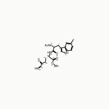 CC(=O)N[C@@H](Cc1c[nH]c2ccc(C)cc12)C(=O)N[C@@H](CCC(=O)C=N)C(=O)OC(C)C